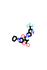 CC1=C(C(=O)N2CCc3ncc(C(F)(F)F)cc3C2)C2(CCN(C3CCCCC3)CC2)OC1=O